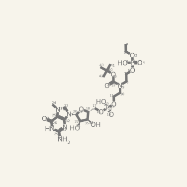 CCOP(=O)(O)OCCN(CCOP(=O)(O)OC[C@H]1O[C@@H](n2c[n+](C)c3c(=O)[nH]c(N)nc32)[C@H](O)[C@@H]1O)C(=O)OC(C)(C)C